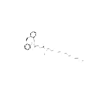 COCCOCCOCCOCCNC(=O)CCC(=O)N1Cc2ccccc2C#Cc2ccccc21